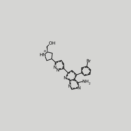 Nc1ncnc2nc(-c3ccc(C4CN[C@@H](CO)C4)nn3)cc(-c3cccc(Br)c3)c12